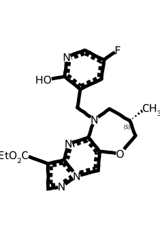 CCOC(=O)c1cnn2cc3c(nc12)N(Cc1cc(F)cnc1O)C[C@H](C)CO3